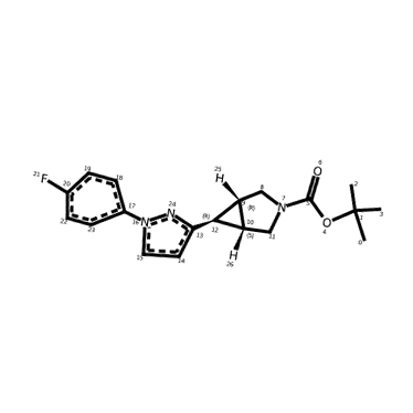 CC(C)(C)OC(=O)N1C[C@@H]2[C@H](C1)[C@H]2c1ccn(-c2ccc(F)cc2)n1